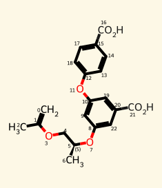 C=C(C)OC[C@H](C)Oc1cc(Oc2ccc(C(=O)O)cc2)cc(C(=O)O)c1